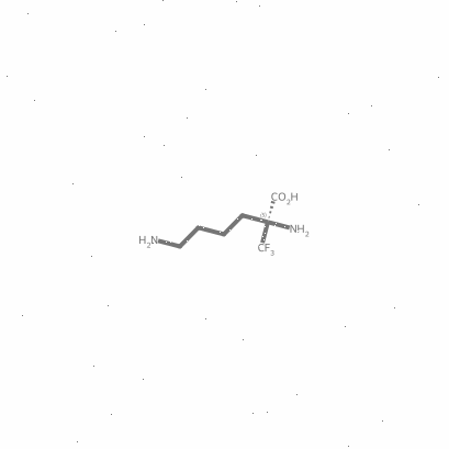 NCCCC[C@](N)(C(=O)O)C(F)(F)F